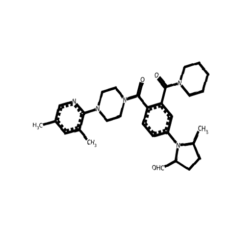 Cc1cnc(N2CCN(C(=O)c3ccc(N4C(C)CCC4C=O)cc3C(=O)N3CCCCC3)CC2)c(C)c1